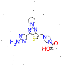 C[C@H](O)C(=O)N1CCN(Cc2csc3c(-c4cnc(N)nc4)nc(N4CCCCC4)nc23)CC1